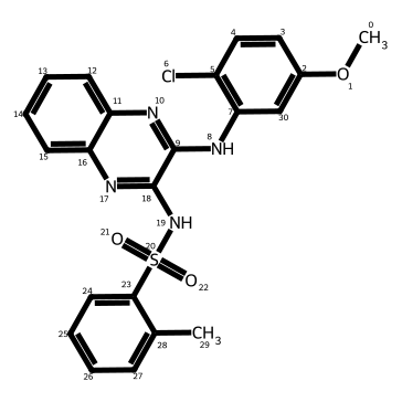 COc1ccc(Cl)c(Nc2nc3ccccc3nc2NS(=O)(=O)c2ccccc2C)c1